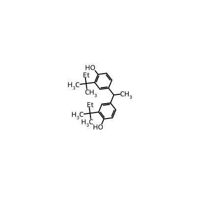 CCC(C)(C)c1cc(C(C)c2ccc(O)c(C(C)(C)CC)c2)ccc1O